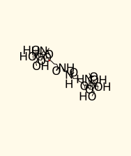 CC(=O)NC1[C@H](OCCCCC(=O)NCCNC(=O)CCCCO[C@@H]2OC(CO)[C@H](O)[C@H](O)C2NC(C)=O)OC(CO)[C@H](O)[C@@H]1O